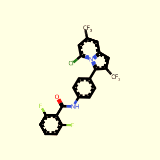 O=C(Nc1ccc(-c2c(C(F)(F)F)cc3cc(C(F)(F)F)cc(Cl)n23)cc1)c1c(F)cccc1F